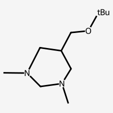 CN1CC(COC(C)(C)C)CN(C)C1